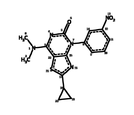 CN(C)c1nc(=O)n(-c2cccc([N+](=O)[O-])c2)c2nc(C3CC3)sc12